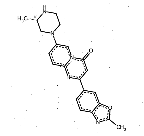 Cc1nc2ccc(-c3cc(=O)n4cc(N5CCN[C@@H](C)C5)ccc4n3)cc2o1